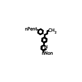 C=CCC(c1ccc(-c2ccc(CCCCCCCCC)cn2)cc1)[C@H]1CC[C@H](CCCCC)CC1